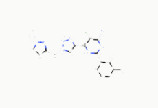 Cc1cccc(-c2nc(N)c(Cl)c(-c3cn(Cc4ccn(C)n4)nn3)n2)c1C